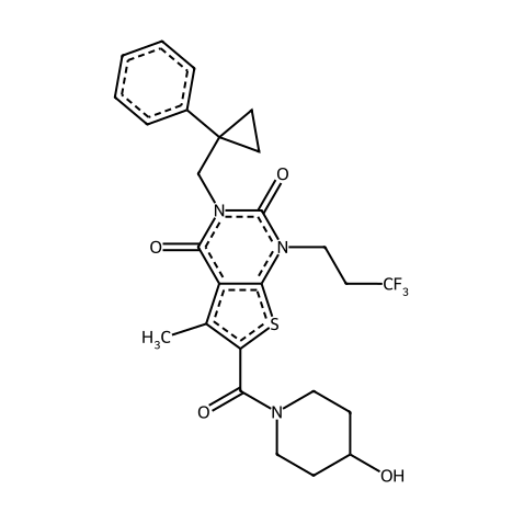 Cc1c(C(=O)N2CCC(O)CC2)sc2c1c(=O)n(CC1(c3ccccc3)CC1)c(=O)n2CCC(F)(F)F